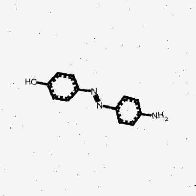 Nc1ccc(/N=N/c2ccc(O)cc2)cc1